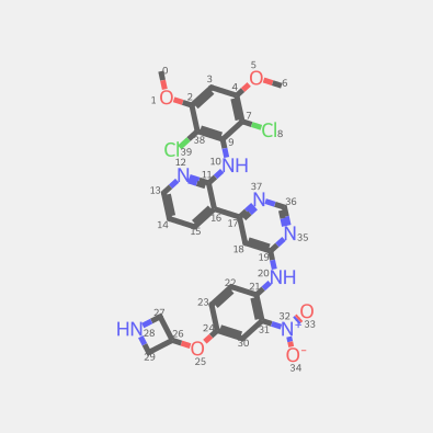 COc1cc(OC)c(Cl)c(Nc2ncccc2-c2cc(Nc3ccc(OC4CNC4)cc3[N+](=O)[O-])ncn2)c1Cl